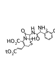 CCOC(=O)C=CC1=C(C(=O)O)N2C(=O)C(NC(=O)C(N)c3cccc(O)c3)[C@@H]2SC1